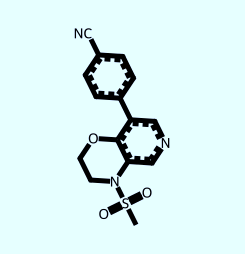 CS(=O)(=O)N1CCOc2c(-c3ccc(C#N)cc3)cncc21